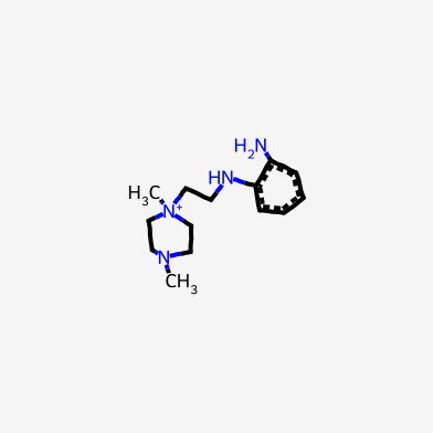 CN1CC[N+](C)(CCNc2ccccc2N)CC1